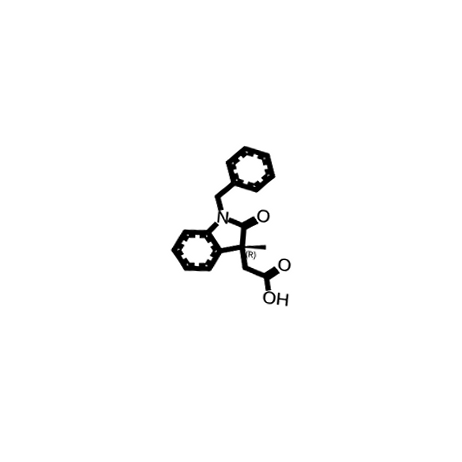 C[C@]1(CC(=O)O)C(=O)N(Cc2ccccc2)c2ccccc21